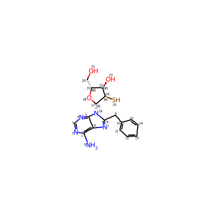 Nc1ncnc2c1nc(Cc1ccccc1)n2[C@@H]1O[C@H](CO)[C@@H](O)[C@H]1S